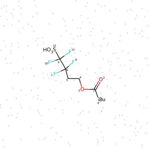 CCC(C)C(=O)OCCC(F)(F)C(F)(F)S(=O)(=O)O